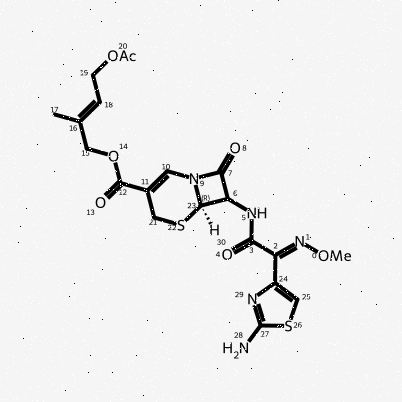 CON=C(C(=O)NC1C(=O)N2C=C(C(=O)OCC(C)=CCOC(C)=O)CS[C@H]12)c1csc(N)n1